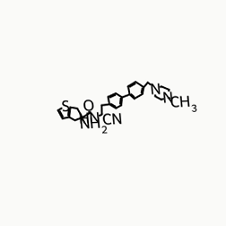 CN1CCN(Cc2ccc(-c3ccc(CC(C#N)NC(=O)[C@]4(N)Cc5ccsc5C4)cc3)cc2)CC1